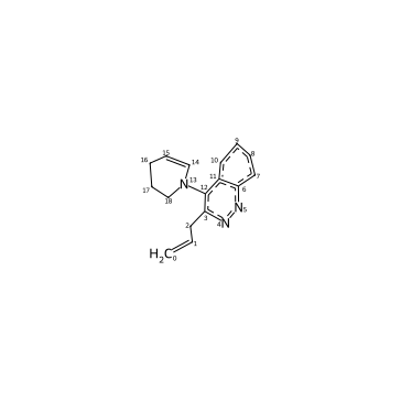 C=CCc1nnc2ccccc2c1N1C=CCCC1